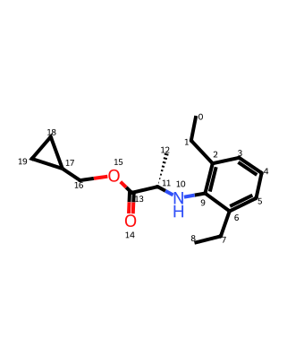 CCc1cccc(CC)c1N[C@@H](C)C(=O)OCC1CC1